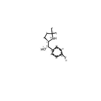 CC1(C)CC[C@H]([C@@H](O)c2ccc(F)cc2)N1